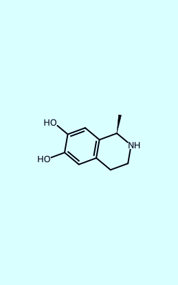 C[C@H]1NCCc2cc(O)c(O)cc21